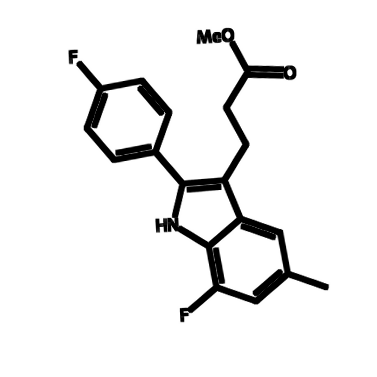 COC(=O)CCc1c(-c2ccc(F)cc2)[nH]c2c(F)cc(C)cc12